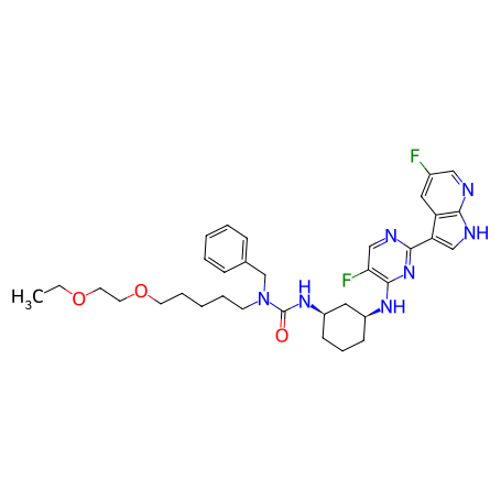 CCOCCOCCCCCN(Cc1ccccc1)C(=O)N[C@@H]1CCC[C@H](Nc2nc(-c3c[nH]c4ncc(F)cc34)ncc2F)C1